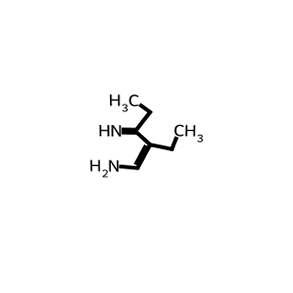 CCC(=N)/C(=C\N)CC